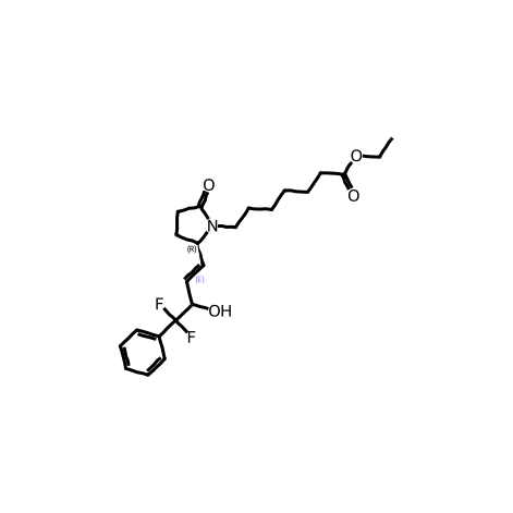 CCOC(=O)CCCCCCN1C(=O)CC[C@@H]1/C=C/C(O)C(F)(F)c1ccccc1